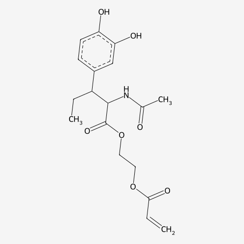 C=CC(=O)OCCOC(=O)C(NC(C)=O)C(CC)c1ccc(O)c(O)c1